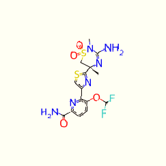 CN1C(N)=N[C@](C)(c2nc(-c3nc(C(N)=O)ccc3OC(F)F)cs2)CS1(=O)=O